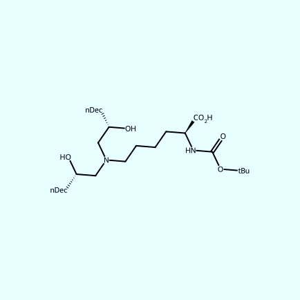 CCCCCCCCCC[C@H](O)CN(CCCC[C@H](NC(=O)OC(C)(C)C)C(=O)O)C[C@@H](O)CCCCCCCCCC